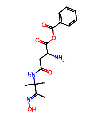 CC(=NO)C(C)(C)NC(=O)CC(N)C(=O)OC(=O)c1ccccc1